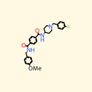 COc1ccc(CNC(=O)c2ccc(C(=O)NC3CCN(Cc4ccc(F)cc4)CC3)cc2)cc1